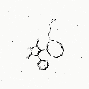 O=C1NC(=O)C(c2cnccn2)=C1/C1=C/N(CCCO)C/N=C\C=C/C1